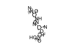 COc1cc(Nc2ccnc(-c3ccc(O[C@H]4CCN(C(=O)[C@H](C)O)C[C@H]4F)c(C#N)c3)n2)ccc1N1CCN(C)C[C@@H]1C